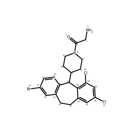 NCC(=O)N1CCC(C2c3ncc(Br)cc3CCc3cc(Cl)cc(Cl)c32)CC1